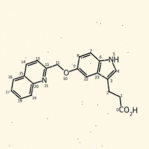 O=C(O)CCc1c[nH]c2ccc(OCc3ccc4ccccc4n3)cc12